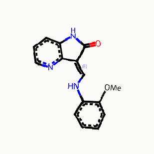 COc1ccccc1N/C=C1/C(=O)Nc2cccnc21